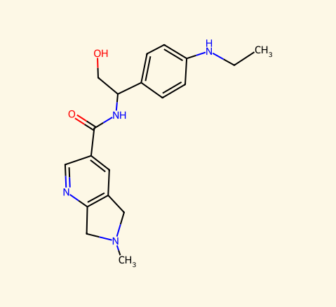 CCNc1ccc(C(CO)NC(=O)c2cnc3c(c2)CN(C)C3)cc1